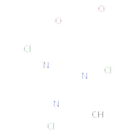 CC1N(Cl)CN(Cl)C(C(=O)C=O)N1Cl